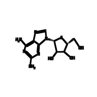 Nc1nc(N)c2ncn([C@@H]3S[C@H](CO)C(O)C3O)c2n1